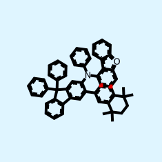 CC1(C)CCC(C)(C)c2cc(-c3cc4c(cc3N(c3ccccc3)c3cccc5oc6ccccc6c35)C(c3ccccc3)(c3ccccc3)c3ccccc3-4)ccc21